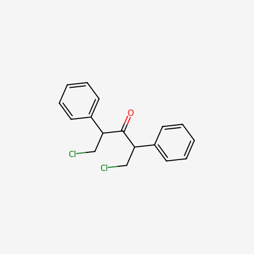 O=C(C(CCl)c1ccccc1)C(CCl)c1ccccc1